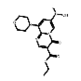 CCOC(=O)c1cnc2c(N3CCOCC3)cc(B(O)O)cn2c1=O